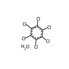 Clc1c(Cl)c(Cl)c(Cl)c(Cl)c1Cl.O